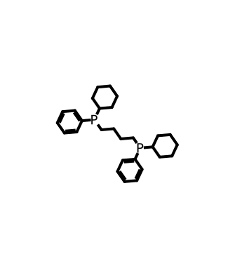 c1ccc(P(CCCCP(c2ccccc2)C2CCCCC2)C2CCCCC2)cc1